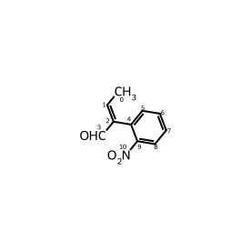 C/C=C(/C=O)c1ccccc1[N+](=O)[O-]